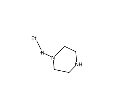 CC[N]N1CCNCC1